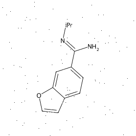 CC(C)N=C(N)c1ccc2ccoc2c1